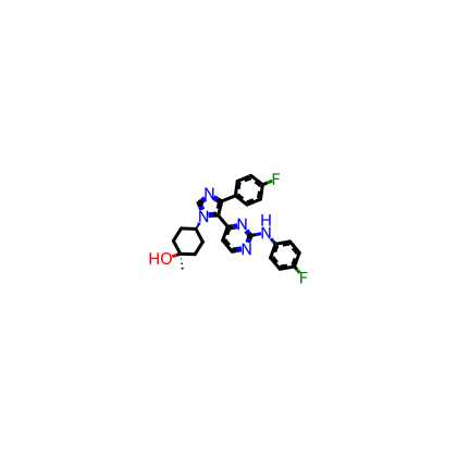 C[C@]1(O)CC[C@@H](n2cnc(-c3ccc(F)cc3)c2-c2ccnc(Nc3ccc(F)cc3)n2)CC1